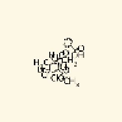 COC(=O)C1=C(Cl)C(Cl)(Br)C(C)=C(Cl)C1(Cl)OC.COc1ccccc1C(=O)O